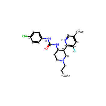 COCCN1CCC(NC(=O)Nc2ccc(Cl)cc2)C(c2ncc(OC)cc2F)C1